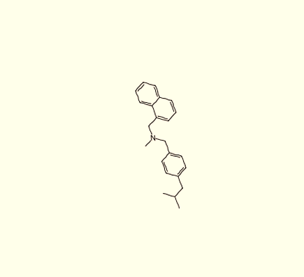 CC(C)Cc1ccc(CN(C)Cc2cccc3ccccc23)cc1